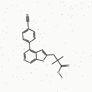 COC(=O)C(C)(C)Cc1cc2c(-c3ccc(C#N)cc3)cncc2s1